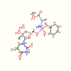 CC(C)OC(=O)[C@@H](C)NP(=O)(OC[C@H]1O[C@@H](n2cc(Cl)c(=O)[nH]c2=O)[C@](C)(O)[C@@H]1O)Oc1ccccc1